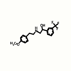 COc1ccc(CCNCC(O)c2cccc(C(F)(F)F)c2)cc1